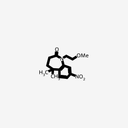 COCCN1C(=O)CCC(C)(C)c2ccc([N+](=O)[O-])cc21